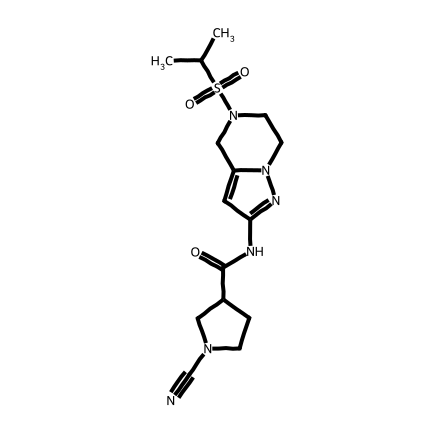 CC(C)S(=O)(=O)N1CCn2nc(NC(=O)C3CCN(C#N)C3)cc2C1